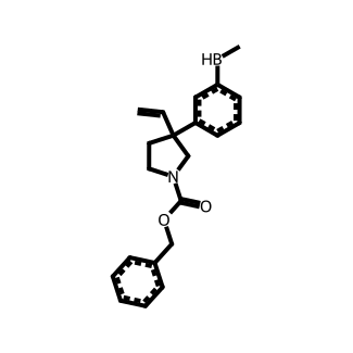 C=CC1(c2cccc(BC)c2)CCN(C(=O)OCc2ccccc2)C1